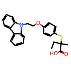 CCC(C)(Sc1ccc(OCCn2c3ccccc3c3ccccc32)cc1)C(=O)O